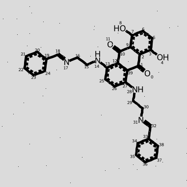 O=C1c2c(O)ccc(O)c2C(=O)c2c(NCCN=Cc3ccccc3)ccc(NCCN=Cc3ccccc3)c21